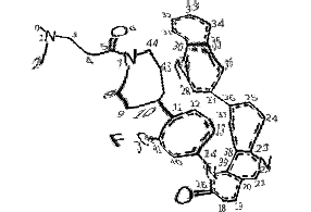 CN(C)CCC(=O)N1CCC(c2ccc(-n3c(=O)ccc4cnc5ccc(-c6cnc7ccccc7c6)cc5c43)cc2C(F)(F)F)CC1